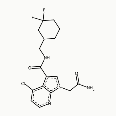 NC(=O)Cn1cc(C(=O)NCC2CCCC(F)(F)C2)c2c(Cl)ccnc21